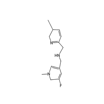 CC1C=CC(CNCC2=CN(C)CC(F)=C2)=NC1